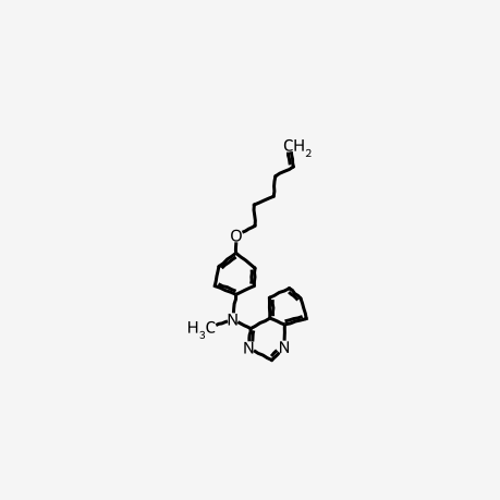 C=CCCCCOc1ccc(N(C)c2ncnc3ccccc23)cc1